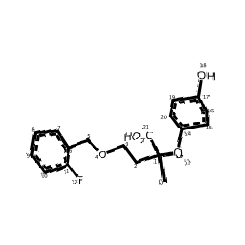 CC(CCOCc1ccccc1F)(Oc1ccc(O)cc1)C(=O)O